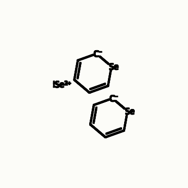 C1=C[CH-][Se]C=C1.C1=C[CH-][Se]C=C1.[Se+2]